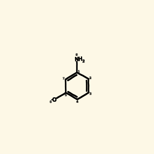 Nc1cccc([O])c1